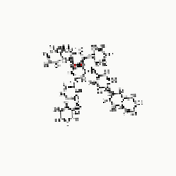 c1cc(-c2ccc3c(c2)sc2ccccc23)cc(N(c2ccc(-c3ccc4ccccc4c3)cc2)c2ccccc2-c2ccc3c(c2)oc2ccccc23)c1